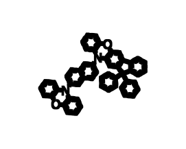 c1ccc(C2(c3ccccc3)c3ccccc3-c3cc4c(cc32)N(c2ccc3cc(N5c6ccccc6Oc6ccccc65)ccc3c2)c2ccccc2O4)cc1